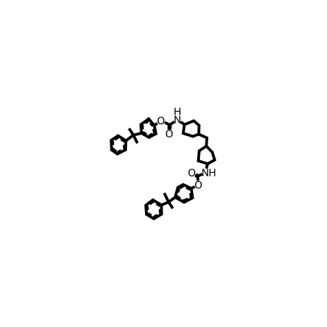 CC(C)(c1ccccc1)c1ccc(OC(=O)NC2CCC(CC3CCC(NC(=O)Oc4ccc(C(C)(C)c5ccccc5)cc4)CC3)CC2)cc1